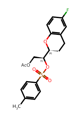 CC(=O)OC[C@H](OS(=O)(=O)c1ccc(C)cc1)[C@H]1CCc2cc(F)ccc2O1